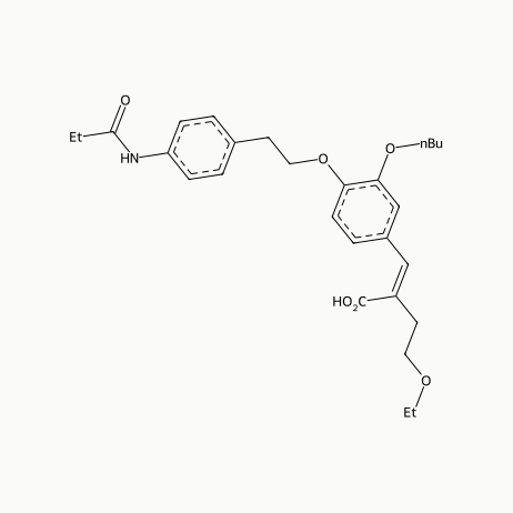 CCCCOc1cc(/C=C(/CCOCC)C(=O)O)ccc1OCCc1ccc(NC(=O)CC)cc1